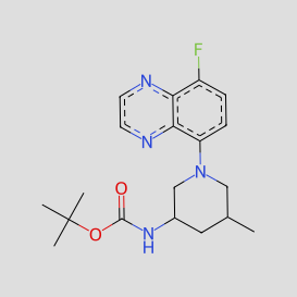 CC1CC(NC(=O)OC(C)(C)C)CN(c2ccc(F)c3nccnc23)C1